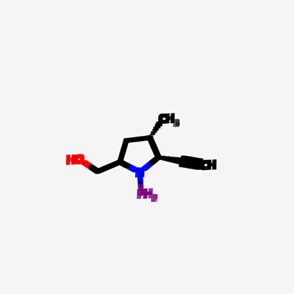 C#C[C@@H]1[C@@H](C)CC(CO)N1P